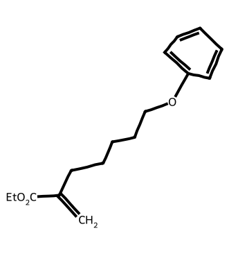 C=C(CCCCCOc1ccccc1)C(=O)OCC